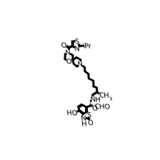 CC(CCCCCCCN1CCC2(CC1)CN(C(=O)c1csc(C(C)C)n1)CCO2)CNC[C@H](OC=O)c1ccc(O)c2[nH]c(=O)sc12